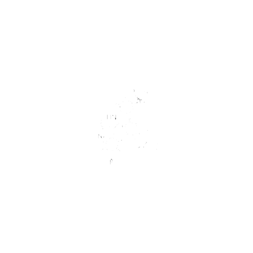 COC(=O)Cc1ccc(/C(Nc2ccc(S(C)(=O)=O)cc2)=C2/C(=O)Nc3cc(F)ccc32)cc1